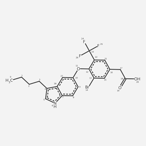 CCCCc1c[nH]c2ccc(Oc3c(Br)cc(CC(=O)O)cc3C(F)(F)F)cc12